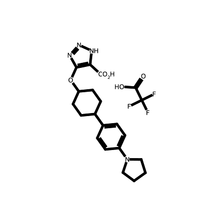 O=C(O)C(F)(F)F.O=C(O)c1[nH]nnc1OC1CCC(c2ccc(N3CCCC3)cc2)CC1